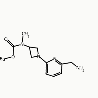 CN(C(=O)OC(C)(C)C)C1CN(c2cccc(CN)n2)C1